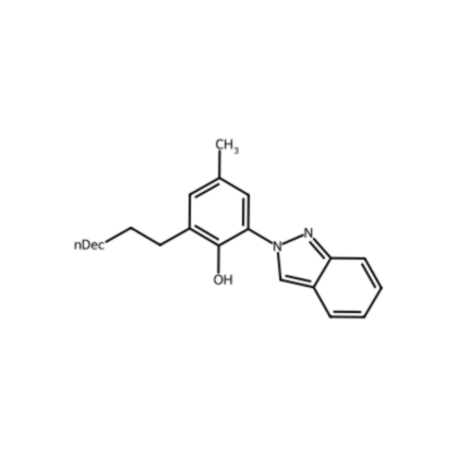 CCCCCCCCCCCCc1cc(C)cc(-n2cc3ccccc3n2)c1O